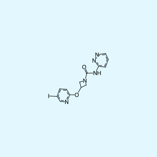 O=C(Nc1cccnn1)N1CC(Oc2ccc(I)cn2)C1